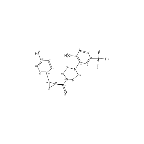 Cc1ccc(C(F)(F)F)cc1N1CCN(C(=O)[C@H]2CC2c2ccc(S)cc2)CC1